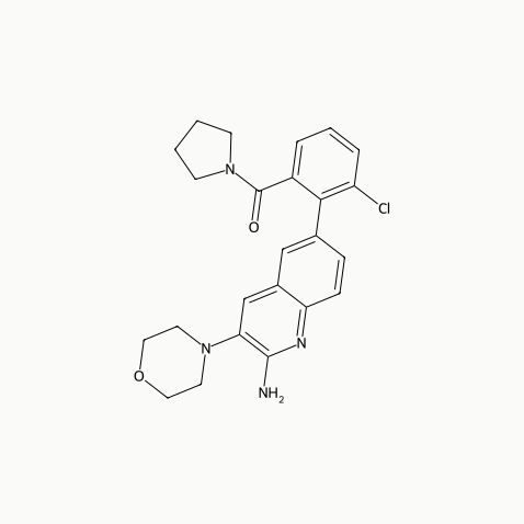 Nc1nc2ccc(-c3c(Cl)cccc3C(=O)N3CCCC3)cc2cc1N1CCOCC1